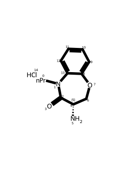 CCCN1C(=O)[C@@H](N)COc2ccccc21.Cl